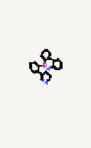 c1ccc2c(c1)-c1ccccc1P1c3ccccc3-c3cnccc3N21